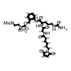 CNCCN(C)C(=O)OCc1ccccc1NC(=O)C(CCCNC(N)=O)NC(=O)CNC(=O)CCCCCN1C(=O)C=CC1=O